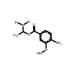 CCCCOc1cc(C(=O)OC(C)N(CC)CC)ccc1N